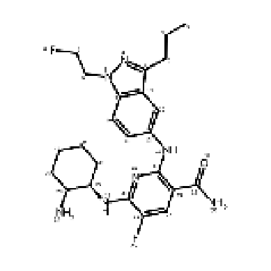 CCCc1nn(CCF)c2ccc(Nc3nc(N[C@@H]4CCCC[C@@H]4N)c(F)cc3C(N)=O)cc12